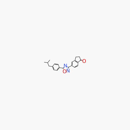 CC(C)Cc1ccc(-c2nc(-c3ccc4c(c3)CCC4=O)no2)cc1